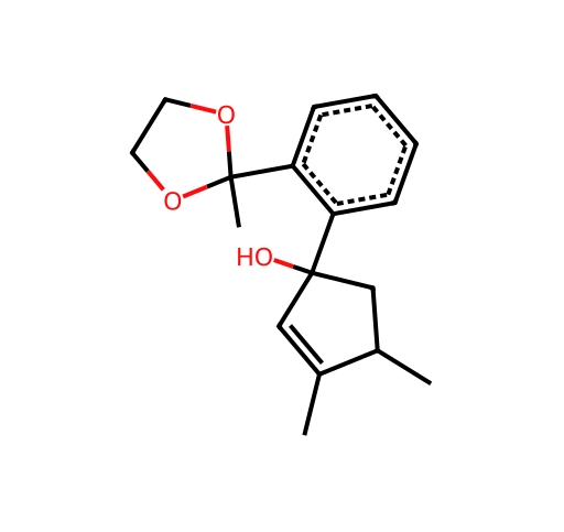 CC1=CC(O)(c2ccccc2C2(C)OCCO2)CC1C